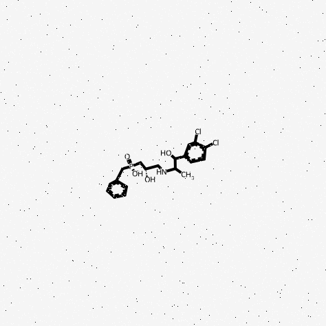 CC(NC[C@H](O)CP(=O)(O)Cc1ccccc1)C(O)c1ccc(Cl)c(Cl)c1